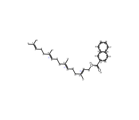 CC(C)=CCC/C(C)=C/CC/C(C)=C/CC/C(C)=C/COC(=O)c1ccc2ccccc2c1